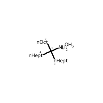 CCCCCCCCC(N)(CCCCCCC)CCCCCCC.O